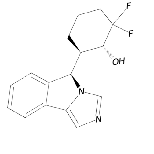 O[C@@H]1[C@@H]([C@@H]2c3ccccc3-c3cncn32)CCCC1(F)F